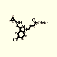 COC(=O)CCCn1nc(CNC2CC2)c2cc(Cl)ccc21